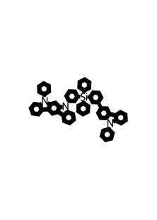 c1ccc(-n2c3ccccc3c3cc(-c4cccc([Si](c5ccccc5)(c5ccccc5)c5cccc(-n6c7ccccc7c7cc8c9ccccc9n(-c9ccccc9)c8cc76)c5)c4)ccc32)cc1